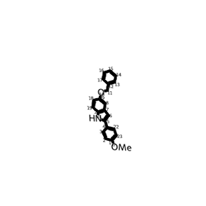 COc1ccc(-c2cc3cc(OCc4ccccc4)ccc3[nH]2)cc1